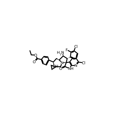 CCOC(=O)c1ccc([C@H](O)C[C@H]2[C@@H](N)[C@H](c3cccc(Cl)c3F)[C@]3(C(=O)Nc4nc(Cl)ccc43)N2CC2CC2)cc1